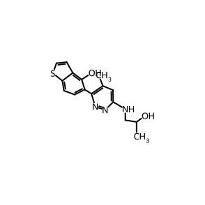 Cc1cc(NCC(C)O)nnc1-c1ccc2sccc2c1O